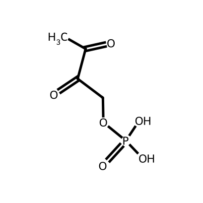 CC(=O)C(=O)COP(=O)(O)O